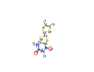 CC1=C(C)SC(=C2Sc3c(n(C)c(=O)n(C)c3=O)S2)S1